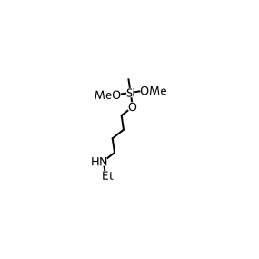 CCNCCCCO[Si](C)(OC)OC